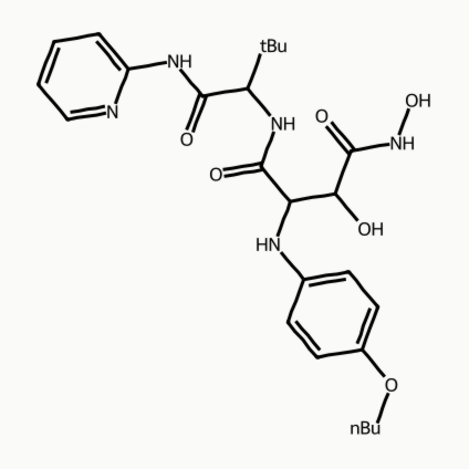 CCCCOc1ccc(NC(C(=O)NC(C(=O)Nc2ccccn2)C(C)(C)C)C(O)C(=O)NO)cc1